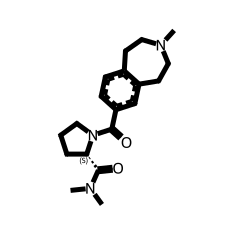 CN1CCc2ccc(C(=O)N3CCC[C@H]3C(=O)N(C)C)cc2CC1